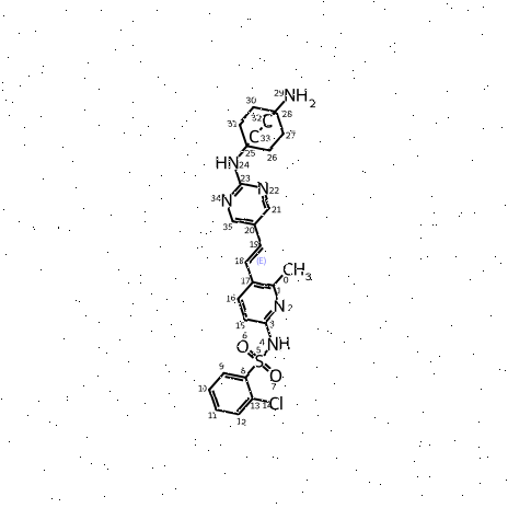 Cc1nc(NS(=O)(=O)c2ccccc2Cl)ccc1/C=C/c1cnc(NC23CCC(N)(CC2)CC3)nc1